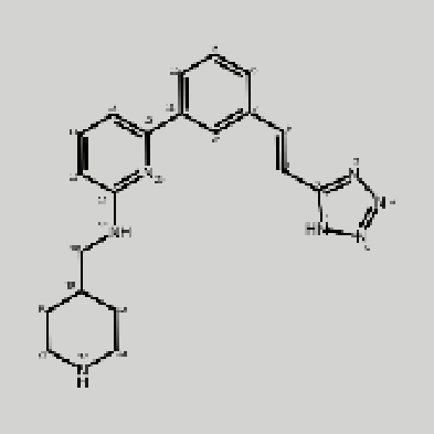 C(=Cc1nnn[nH]1)c1cccc(-c2cccc(NCC3CCNCC3)n2)c1